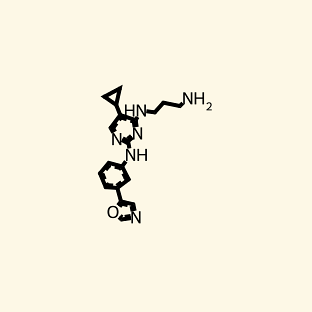 NCCCNc1nc(Nc2cccc(-c3cnco3)c2)ncc1C1CC1